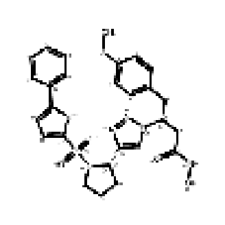 COc1ccc(C[C@@H](CC(=O)NO)n2cc([C@@H]3CCCN3S(=O)(=O)c3ccc(-c4ccccc4)s3)nn2)cc1